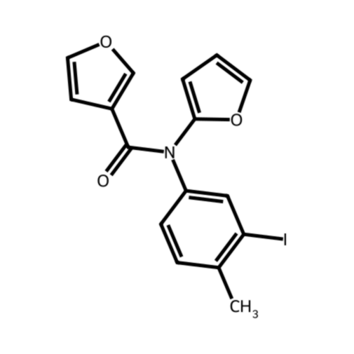 Cc1ccc(N(C(=O)c2ccoc2)c2ccco2)cc1I